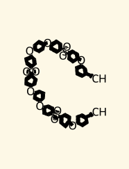 C#Cc1ccc(Oc2ccc(S(=O)(=O)c3ccc(Oc4cccc(Oc5ccc(S(=O)(=O)c6ccc(Oc7ccc(Oc8ccc(S(=O)(=O)c9ccc(Oc%10cccc(C#C)c%10)cc9)cc8)cc7)cc6)cc5)c4)cc3)cc2)cc1